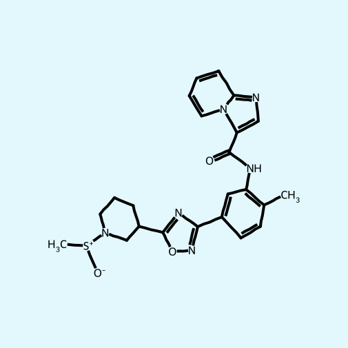 Cc1ccc(-c2noc(C3CCCN([S+](C)[O-])C3)n2)cc1NC(=O)c1cnc2ccccn12